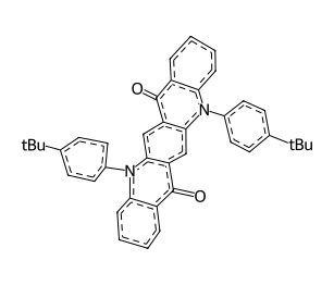 CC(C)(C)c1ccc(-n2c3ccccc3c(=O)c3cc4c(cc32)c(=O)c2ccccc2n4-c2ccc(C(C)(C)C)cc2)cc1